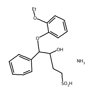 CCOc1ccccc1OC(c1ccccc1)C(O)CCS(=O)(=O)O.N